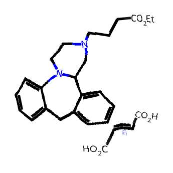 CCOC(=O)CCCN1CCN2c3ccccc3Cc3ccccc3C2C1.O=C(O)/C=C/C(=O)O